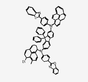 CCC1C=CC2=CCC(N(C3=CCC(c4nc5ccccc5o4)C=C3)c3ccc4c(c3)C(c3ccccc3)(c3ccccc3)c3cc(N(c5ccc(-c6nc7ccccc7o6)cc5)c5ccc6ccc7cccc8ccc5c6c78)ccc3-4)c3ccc(C)c1c32